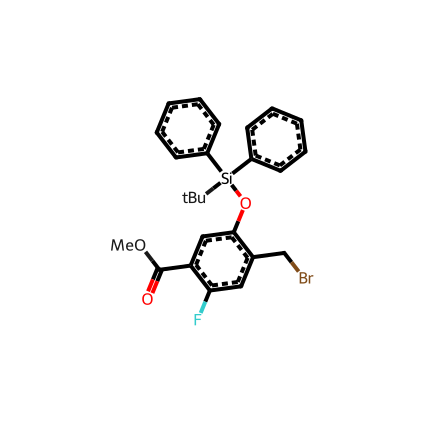 COC(=O)c1cc(O[Si](c2ccccc2)(c2ccccc2)C(C)(C)C)c(CBr)cc1F